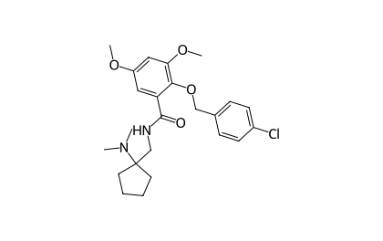 COc1cc(OC)c(OCc2ccc(Cl)cc2)c(C(=O)NCC2(N(C)C)CCCC2)c1